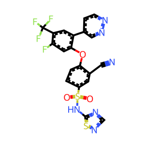 N#Cc1cc(S(=O)(=O)Nc2ncns2)ccc1Oc1cc(F)c(C(F)(F)F)cc1-c1ccnnc1